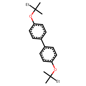 CCC(C)(C)Oc1ccc(-c2ccc(OC(C)(C)CC)cc2)cc1